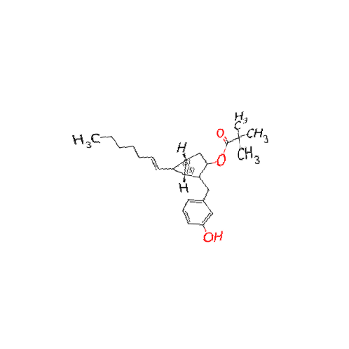 CCCCCC=CC1[C@H]2C(Cc3cccc(O)c3)C(OC(=O)C(C)(C)C)C[C@@H]12